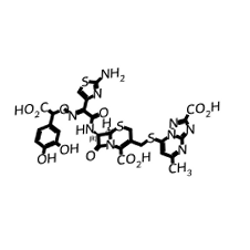 Cc1cc(SCC2=C(C(=O)O)N3C(=O)[C@@H](NC(=O)C(=NOC(C(=O)O)c4ccc(O)c(O)c4)c4csc(N)n4)[C@H]3SC2)n2nc(C(=O)O)nc2n1